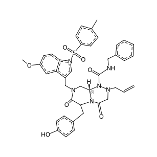 C=CCN1CC(=O)N2C(Cc3ccc(O)cc3)C(=O)N(Cc3cn(S(=O)(=O)c4ccc(C)cc4)c4ccc(OC)cc34)C[C@@H]2N1C(=O)NCc1ccccc1